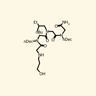 CCCCCCCCCCN(CC(N)=O)C(=O)CN(CC(CC)CCCC)C(=O)CN(CCCCCCCCCC)C(=O)CNCCCO